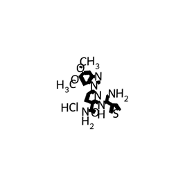 COc1cc2ncn(-c3ccc(C(N)=O)c(NC(CN)c4ccsc4)n3)c2cc1OC.Cl